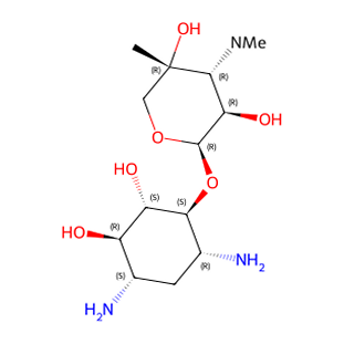 CN[C@@H]1[C@@H](O)[C@@H](O[C@@H]2[C@@H](O)[C@H](O)[C@@H](N)C[C@H]2N)OC[C@]1(C)O